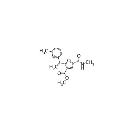 C=C(c1cccc(C)n1)c1oc(C(=O)NC)cc1C(=O)OC